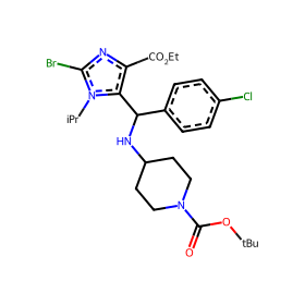 CCOC(=O)c1nc(Br)n(C(C)C)c1C(NC1CCN(C(=O)OC(C)(C)C)CC1)c1ccc(Cl)cc1